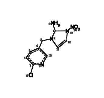 NC1N(Cc2ccc(Cl)nc2)C=CN1[N+](=O)[O-]